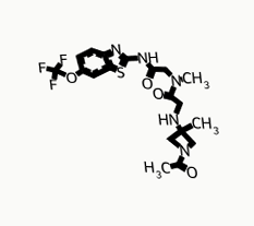 CC(=O)N1CC(C)(NCC(=O)N(C)CC(=O)Nc2nc3ccc(OC(F)(F)F)cc3s2)C1